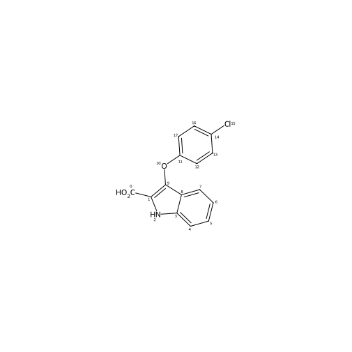 O=C(O)c1[nH]c2ccccc2c1Oc1ccc(Cl)cc1